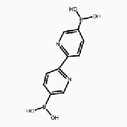 OB(O)c1ccc(-c2ccc(B(O)O)cn2)nc1